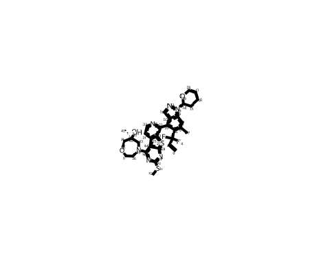 C=CC(F)(F)c1c(C)cc2c(cnn2C2CCCCO2)c1-c1nccc2c1sc1nc(SC)nc(N3CCOC[C@@](C)(O)C3)c12